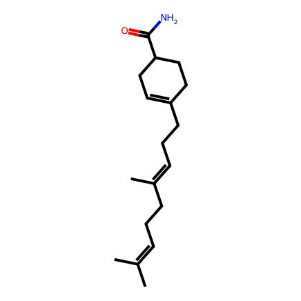 CC(C)=CCC/C(C)=C/CCC1=CCC(C(N)=O)CC1